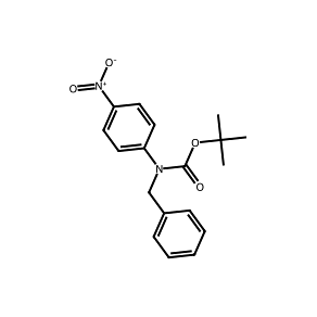 CC(C)(C)OC(=O)N(Cc1ccccc1)c1ccc([N+](=O)[O-])cc1